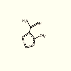 [CH2]c1ccccc1C(=N)N